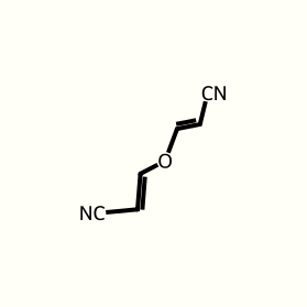 N#CC=COC=CC#N